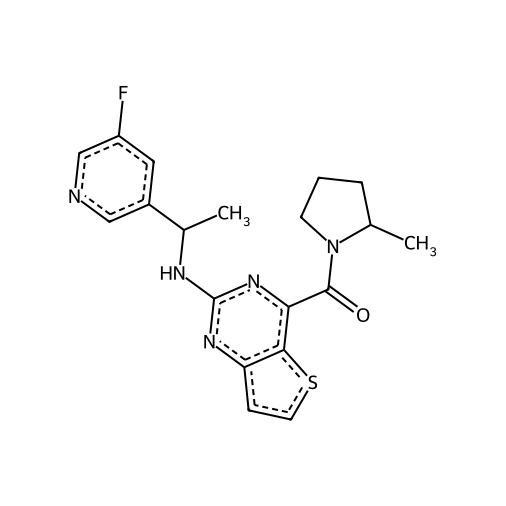 CC(Nc1nc(C(=O)N2CCCC2C)c2sccc2n1)c1cncc(F)c1